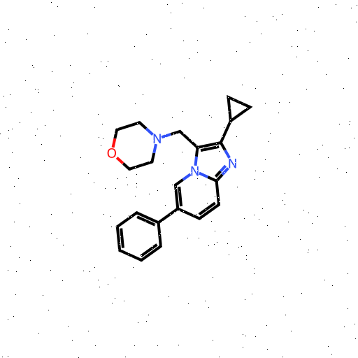 c1ccc(-c2ccc3nc(C4CC4)c(CN4CCOCC4)n3c2)cc1